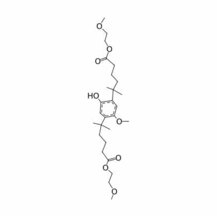 COCCOC(=O)CCCC(C)(C)c1cc(OC)c(C(C)(C)CCCC(=O)OCCOC)cc1O